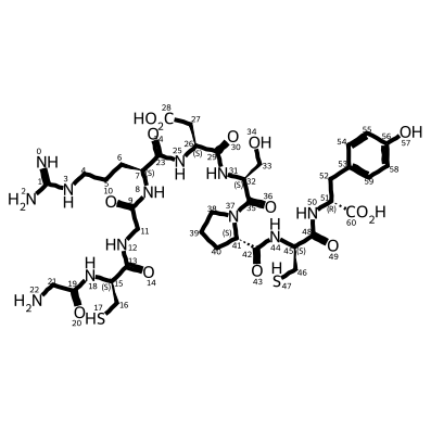 N=C(N)NCCC[C@H](NC(=O)CNC(=O)[C@@H](CS)NC(=O)CN)C(=O)N[C@@H](CC(=O)O)C(=O)N[C@@H](CO)C(=O)N1CCC[C@H]1C(=O)N[C@H](CS)C(=O)N[C@H](Cc1ccc(O)cc1)C(=O)O